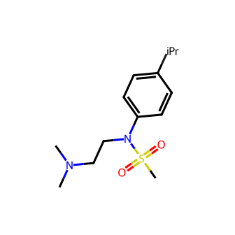 CC(C)c1ccc(N(CCN(C)C)S(C)(=O)=O)cc1